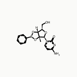 C[C@@]12OB(c3ccccc3)O[C@@H]1[C@@H](CO)O[C@H]2n1ccc(N)nc1=O